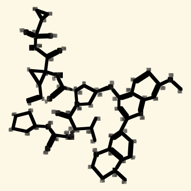 C=CC1CC1(NC(=O)[C@@H]1C[C@@H](Oc2cc(-c3ccc4c(c3)OCCN4C)nc3cc(OC)ccc23)CN1C(=O)[C@@H](NC(=O)OC1CCCC1)C(C)C)C(=O)NS(=O)(=O)C1CC1